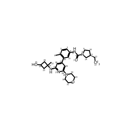 Cc1ccc(NC(=O)N2CC[C@@H](CC(F)(F)F)C2)cc1-c1cc(NC2(C)CC(O)C2)nc(N2CCOCC2)c1